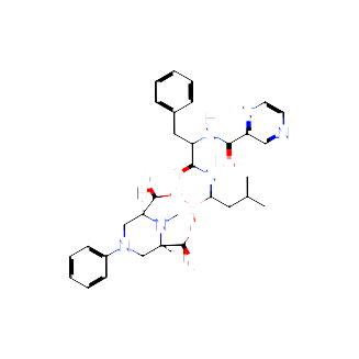 CC(C)CC(NC(=O)C(Cc1ccccc1)NC(=O)c1cnccn1)B1OC(=O)[C@@H]2CN(c3ccccc3)C[C@@H](C(=O)O1)N2C